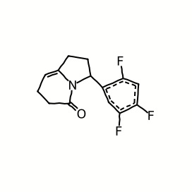 O=C1CCC=C2CCC(c3cc(F)c(F)cc3F)N12